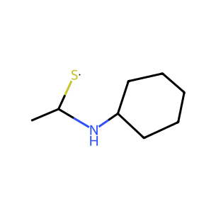 CC([S])NC1CCCCC1